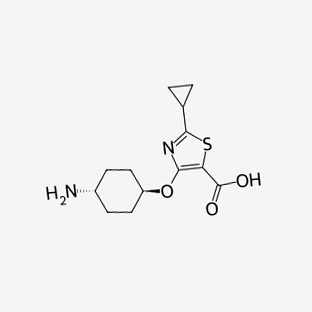 N[C@H]1CC[C@H](Oc2nc(C3CC3)sc2C(=O)O)CC1